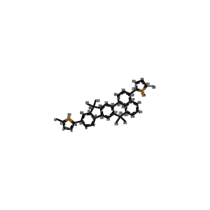 Cc1ccc(-c2ccc3c(c2)C(C)(C)c2cc4c(cc2-3)C(C)(C)c2cccc3c(-c5ccc(C)s5)ccc-4c23)s1